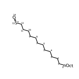 CCCCCCCCCCCCCCCCCCCC[S+]=O